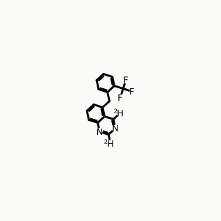 [2H]c1nc([2H])c2c(Cc3ccccc3C(F)(F)F)cccc2n1